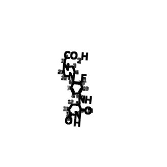 O=C(O)CN1CCN(c2ccc(NC3CCC(=O)NC3=O)cc2F)CC1